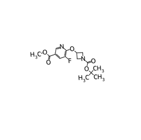 COC(=O)c1cnc(OC2CN(C(=O)OC(C)(C)C)C2)c(F)c1